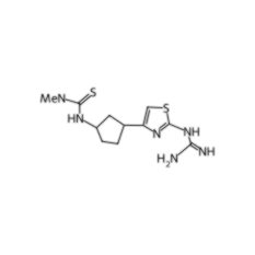 CNC(=S)NC1CCC(c2csc(NC(=N)N)n2)C1